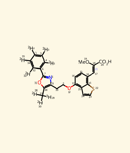 [2H]c1c([2H])c([2H])c(-c2nc(CCOc3ccc(/C=C(\OC)C(=O)O)c4sccc34)c(C([2H])([2H])[2H])o2)c([2H])c1[2H]